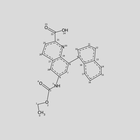 CCOC(=O)Nc1cc(-c2cccc3ccccc23)c2nc(C(=O)O)ccc2c1